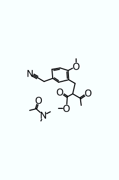 CC(=O)N(C)C.COC(=O)C(Cc1cc(CC#N)ccc1OC)C(C)=O